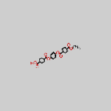 COC(=O)C1CCC(C(=O)Oc2ccc(OC(=O)C3CCC(C(=O)O)CC3)cc2)CC1